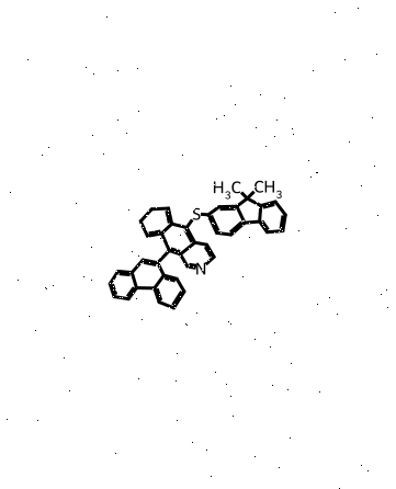 CC1(C)c2ccccc2-c2ccc(Sc3c4c(c(-c5cc6ccccc6c6ccccc56)c5cnccc35)=CCCC=4)cc21